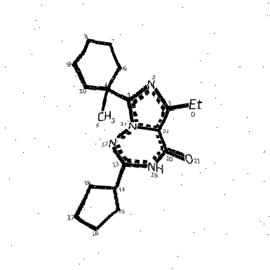 CCc1nc(C2(C)CCCCC2)n2nc(C3CCCC3)[nH]c(=O)c12